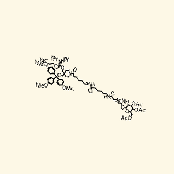 COc1ccc(C(OCC2(COP(OCCC#N)N(C(C)C)C(C)C)CCN(C(=O)CCCCCNC(=O)CCCCCNC(=O)CCCCOC3OC(COC(C)=O)C(OC(C)=O)C(OC(C)=O)C3NC(C)=O)CC2)(c2ccc(OC)cc2)c2ccc(OC)cc2)cc1